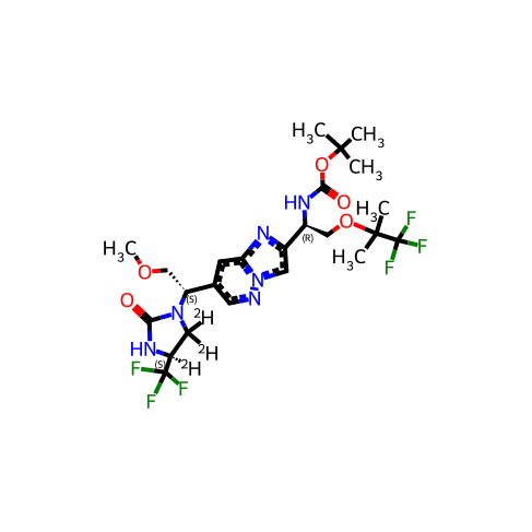 [2H]C1([2H])N([C@H](COC)c2cnn3cc([C@H](COC(C)(C)C(F)(F)F)NC(=O)OC(C)(C)C)nc3c2)C(=O)N[C@]1([2H])C(F)(F)F